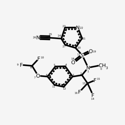 CN(C(c1ccc(OC(F)F)cc1)C(F)(F)F)S(=O)(=O)c1cncc(C#N)c1